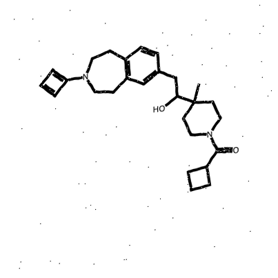 CC1(C(O)Cc2ccc3c(c2)CCN(C2=CC=C2)CC3)CCN(C(=O)C2CCC2)CC1